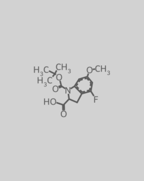 COc1cc(F)c2c(c1)N(C(=O)OC(C)(C)C)C(C(=O)O)C2